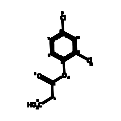 O=C(O)CC(=O)Oc1ccc(Cl)cc1Cl